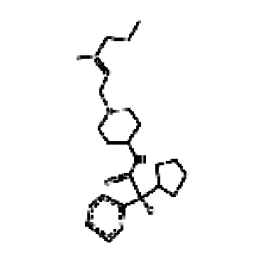 CCC/C(C)=C/CN1CCC(NC(=O)C(O)(c2ccccc2)C2CCCC2)CC1